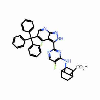 O=C(O)C1C2CCC(CC2)C1Nc1nc(-c2[nH]nc3ncc(C(c4ccccc4)(c4ccccc4)c4ccccc4F)cc23)ncc1F